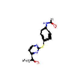 CCC(=O)Nc1ccc(Sc2n[c]cc(C(=O)OC)n2)cc1